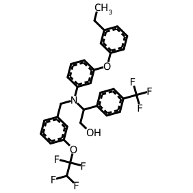 CCc1cccc(Oc2cccc(N(Cc3cccc(OC(F)(F)C(F)F)c3)C(CO)c3ccc(C(F)(F)F)cc3)c2)c1